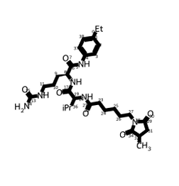 CCc1ccc(NC(=O)[C@H](CCCNC(N)=O)NC(=O)C(NC(=O)CCCCCN2C(=O)CC(C)C2=O)C(C)C)cc1